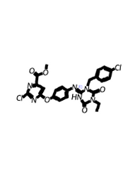 CCn1c(=O)[nH]/c(=N\c2ccc(Oc3cc(C(=O)OC)nc(Cl)n3)cc2)n(Cc2ccc(Cl)cc2)c1=O